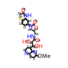 COc1ccc2nccc([C@@H](O)[C@H](O)C(=O)NCC3CN(c4ccc5c(c4)NC(=O)CS5)C(=O)O3)c2n1